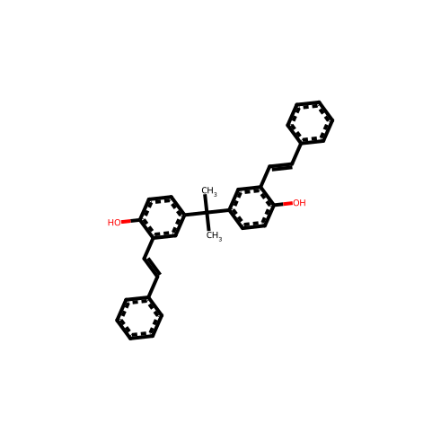 CC(C)(c1ccc(O)c(C=Cc2ccccc2)c1)c1ccc(O)c(C=Cc2ccccc2)c1